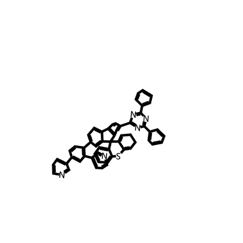 C1=C2Sc3ccccc3C3(C2=CCC1)c1cc(-c2nc(-c4ccccc4)nc(-c4ccccc4)n2)ccc1-c1ccc(-c2ccc(-c4cccnc4)cc2-c2cccnc2)cc13